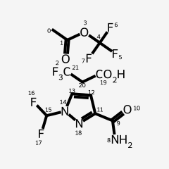 CC(=O)OC(F)(F)F.NC(=O)c1ccn(C(F)F)n1.O=C(O)CC(F)(F)F